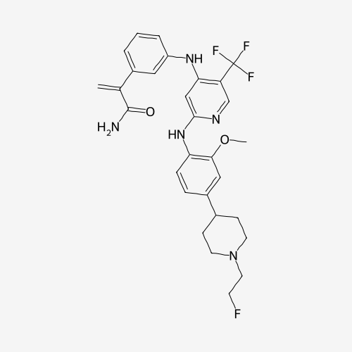 C=C(C(N)=O)c1cccc(Nc2cc(Nc3ccc(C4CCN(CCF)CC4)cc3OC)ncc2C(F)(F)F)c1